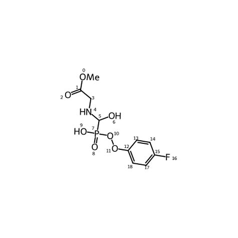 COC(=O)CNC(O)P(=O)(O)OOc1ccc(F)cc1